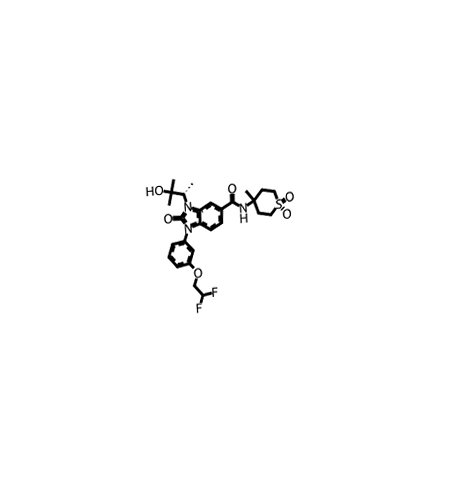 C[C@H](n1c(=O)n(-c2cccc(OCC(F)F)c2)c2ccc(C(=O)NC3(C)CCS(=O)(=O)CC3)cc21)C(C)(C)O